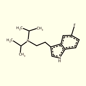 CC(C)N(CCc1c[nH]c2ccc(F)cc12)C(C)C